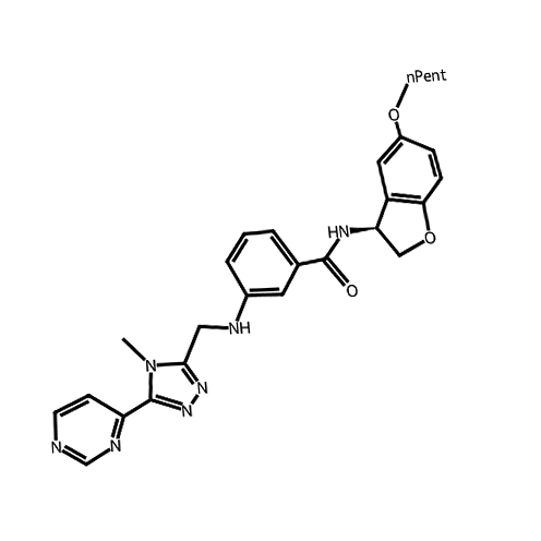 CCCCCOc1ccc2c(c1)[C@H](NC(=O)c1cccc(NCc3nnc(-c4ccncn4)n3C)c1)CO2